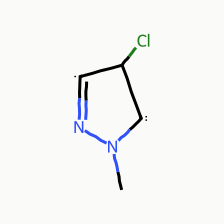 CN1[C]C(Cl)[C]=N1